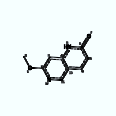 COc1cc2[nH]c(=O)ccc2cn1